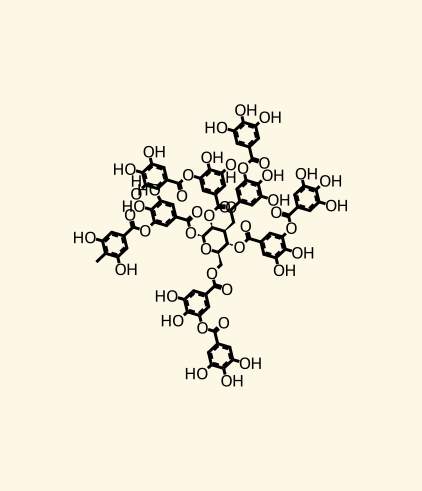 Cc1c(O)cc(C(=O)Oc2cc(C(=O)O[C@H]3O[C@H](COC(=O)c4cc(O)c(O)c(OC(=O)c5cc(O)c(O)c(O)c5)c4)[C@@H](OC(=O)c4cc(O)c(O)c(OC(=O)c5cc(O)c(O)c(O)c5)c4)[C@H](CC(=O)c4cc(O)c(O)c(OC(=O)c5cc(O)c(O)c(O)c5)c4)[C@H]3OC(=O)c3cc(O)c(O)c(OC(=O)c4cc(O)c(O)c(O)c4)c3)cc(O)c2O)cc1O